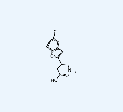 NCC(CC(=O)O)c1cc2cc(Cl)ccc2o1